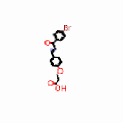 O=C(O)CCOc1ccc(/C=C/C(=O)c2ccc(Br)cc2)cc1